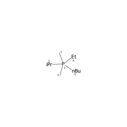 CCCCP(C)(C)(CC)C(C)C